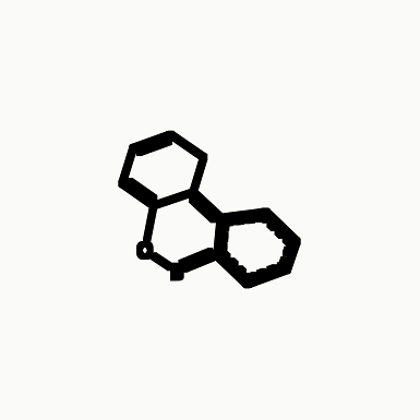 B1=c2ccccc2=C2CC=CC=C2O1